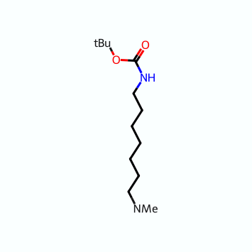 CNCCCCCCCNC(=O)OC(C)(C)C